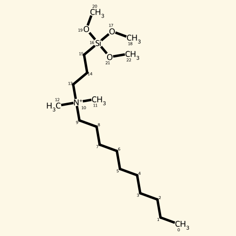 CCCCCCCCCC[N+](C)(C)CCC[Si](OC)(OC)OC